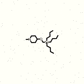 CCC[CH2][Sn]([CH2]CCC)([CH2]CCC)[CH2]OC1CCN(C)CC1